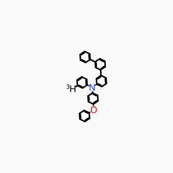 [3H]c1cccc(N(c2ccc(Oc3ccccc3)cc2)c2cccc(-c3cccc(-c4ccccc4)c3)c2)c1